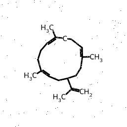 C=C(C)C1CC=C(C)CCC=C(C)CCC=C(C)CC1